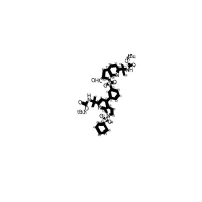 CC(C)(C)OC(=O)NC(C)(C)c1cc(-c2cccc(S(=O)(=O)n3c(C=O)cc4ccc(C(C)(C)NC(=O)OC(C)(C)C)nc43)c2)c2ccn(S(=O)(=O)c3ccccc3)c2n1